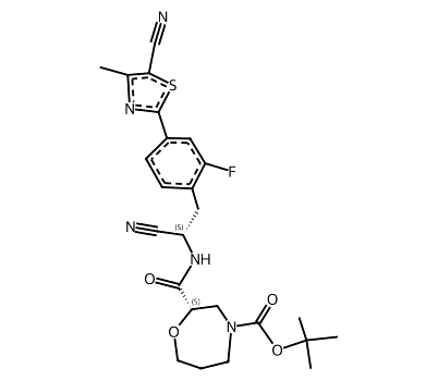 Cc1nc(-c2ccc(C[C@@H](C#N)NC(=O)[C@@H]3CN(C(=O)OC(C)(C)C)CCCO3)c(F)c2)sc1C#N